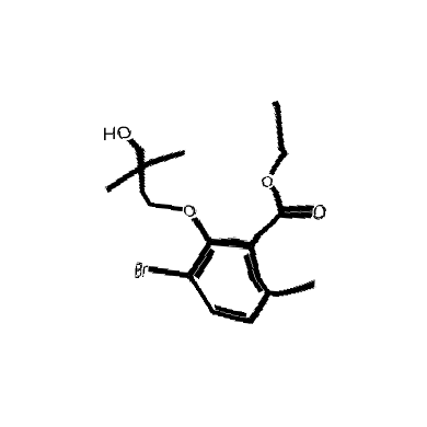 CCOC(=O)c1c(C)ccc(Br)c1OCC(C)(C)O